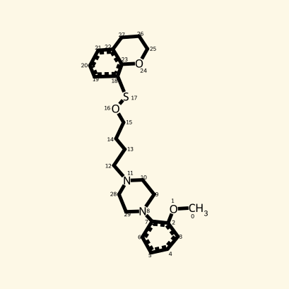 COc1ccccc1N1CCN(CCCCOSc2cccc3c2OCCC3)CC1